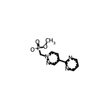 COP(=O)([O-])C[n+]1ccc(-c2ncccn2)cn1